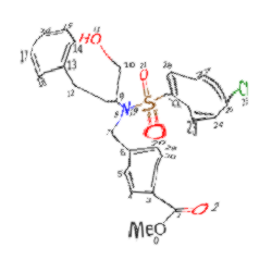 COC(=O)c1ccc(CN(C(CO)Cc2ccccc2)S(=O)(=O)c2ccc(Cl)cc2)cc1